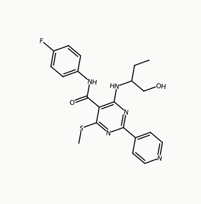 CCC(CO)Nc1nc(-c2ccncc2)nc(SC)c1C(=O)Nc1ccc(F)cc1